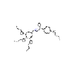 CCCOc1cc(/C=C/C(=O)c2ccc(SCCC)cc2)cc(OCCC)c1OCCC